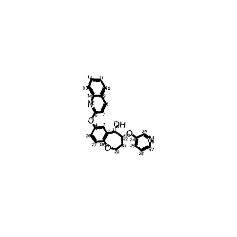 O[C@H]1c2cc(Oc3ccc4ccccc4n3)ccc2OCC[C@H]1Oc1cccnc1